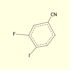 N#Cc1ccc(I)c(F)c1